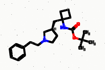 CC(C)(C)OC(=O)NC1(C[C@H]2CCN(CCc3ccccc3)C2)CCC1